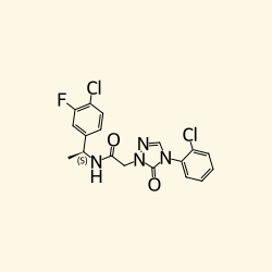 C[C@H](NC(=O)Cn1ncn(-c2ccccc2Cl)c1=O)c1ccc(Cl)c(F)c1